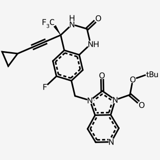 CC(C)(C)OC(=O)n1c(=O)n(Cc2cc3c(cc2F)[C@@](C#CC2CC2)(C(F)(F)F)NC(=O)N3)c2ccncc21